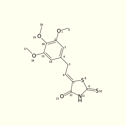 COc1cc(CC=C2SC(=S)NC2=O)cc(OC)c1OC